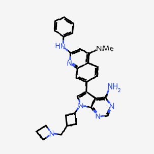 CNc1cc(Nc2ccccc2)nc2cc(-c3cn(C4CC(CN5CCC5)C4)c4ncnc(N)c34)ccc12